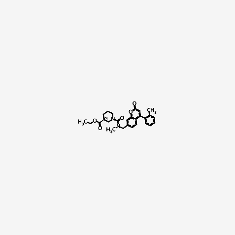 CCOC(=O)[C@H]1CCCN(C(=O)N(C)Cc2ccc3c(-c4ccccc4C)cc(=O)oc3c2)C1